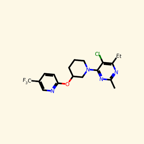 CCc1nc(C)nc(N2CCCC(Oc3ccc(C(F)(F)F)cn3)C2)c1Cl